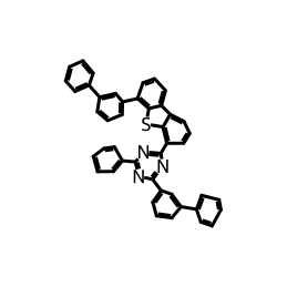 c1ccc(-c2cccc(-c3nc(-c4ccccc4)nc(-c4cccc5c4sc4c(-c6cccc(-c7ccccc7)c6)cccc45)n3)c2)cc1